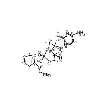 C#CCO[C@H]1CSSC[C@@H]1OP1(=O)OC[C@H]2O[C@@H](n3ccc(N)nc3=O)C(F)(F)[C@@H]2O1